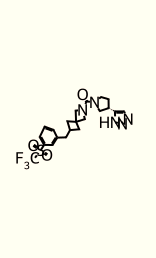 O=C(N1CC[C@H](c2cnn[nH]2)C1)N1CC2(CC(Cc3cccc(S(=O)(=O)C(F)(F)F)c3)C2)C1